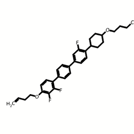 C=CCCOc1ccc(-c2ccc(-c3ccc(C4CCC(OCCCC)CC4)c(F)c3)cc2)c(F)c1F